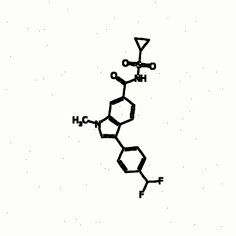 Cn1cc(-c2ccc(C(F)F)cc2)c2ccc(C(=O)NS(=O)(=O)C3CC3)cc21